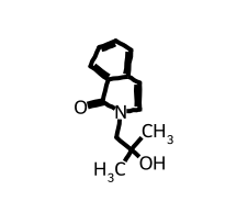 CC(C)(O)Cn1ccc2ccccc2c1=O